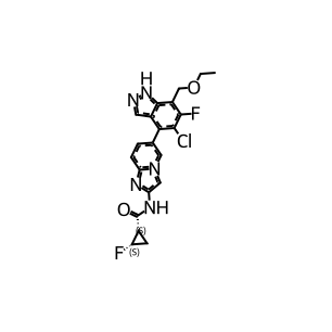 CCOCc1c(F)c(Cl)c(-c2ccc3nc(NC(=O)[C@@H]4C[C@@H]4F)cn3c2)c2cn[nH]c12